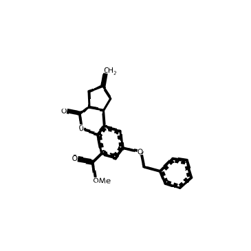 C=C1CC2C(=O)Oc3c(C(=O)OC)cc(OCc4ccccc4)cc3C2C1